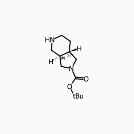 CC(C)(C)OC(=O)N1C[C@H]2CCNC[C@@H]2C1